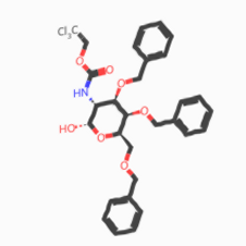 O=C(N[C@@H]1[C@@H](OCc2ccccc2)[C@@H](OCc2ccccc2)[C@@H](COCc2ccccc2)O[C@@H]1O)OCC(Cl)(Cl)Cl